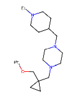 CCN1CCC(CN2CCN(CC3(COC(C)C)CC3)CC2)CC1